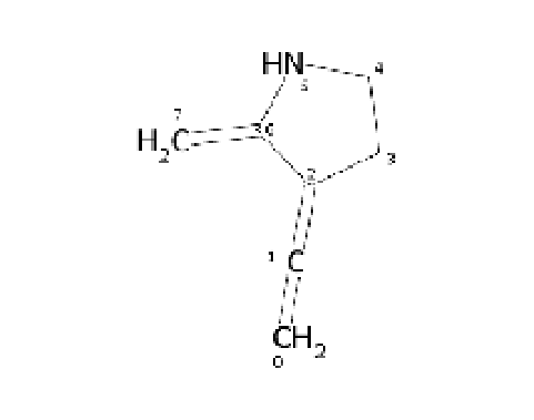 C=C=C1CCNC1=C